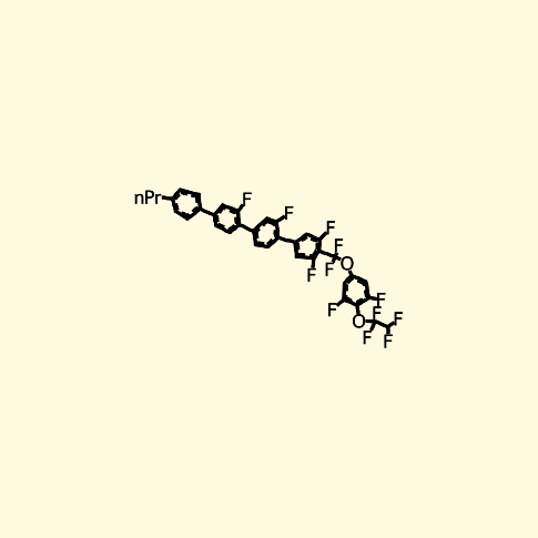 CCCc1ccc(-c2ccc(-c3ccc(-c4cc(F)c(C(F)(F)Oc5cc(F)c(OC(F)(F)C(F)F)c(F)c5)c(F)c4)c(F)c3)c(F)c2)cc1